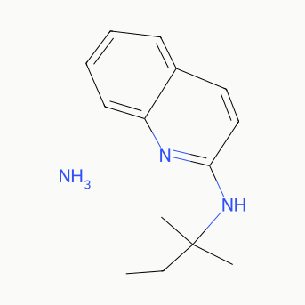 CCC(C)(C)Nc1ccc2ccccc2n1.N